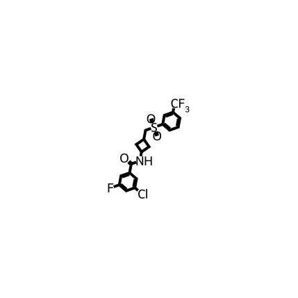 O=C(NC1CC(CS(=O)(=O)c2cccc(C(F)(F)F)c2)C1)c1cc(F)cc(Cl)c1